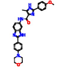 COc1ccc(-c2nc(C(=O)Nc3ccc4nc(-c5ccc(N6CCOCC6)cc5)[nH]c4c3)c(C)[nH]2)cc1